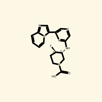 O=C(O)N1CC[C@@H](F)[C@H](Nc2cncc(-c3cnc4ccccn34)n2)C1